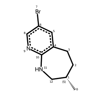 C[C@H]1CCc2cc(Br)cnc2NC1